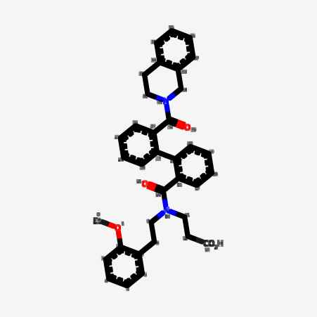 CCOc1ccccc1CCN(CCC(=O)O)C(=O)c1ccccc1-c1ccccc1C(=O)N1CCc2ccccc2C1